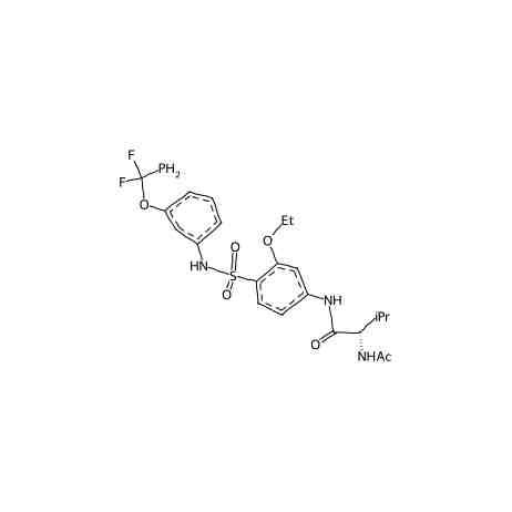 CCOc1cc(NC(=O)[C@@H](NC(C)=O)C(C)C)ccc1S(=O)(=O)Nc1cccc(OC(F)(F)P)c1